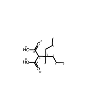 CCCC(C)(CCC)C(C(=O)O)C(=O)O